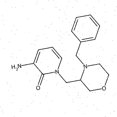 Nc1cccn(CC2COCCN2Cc2ccccc2)c1=O